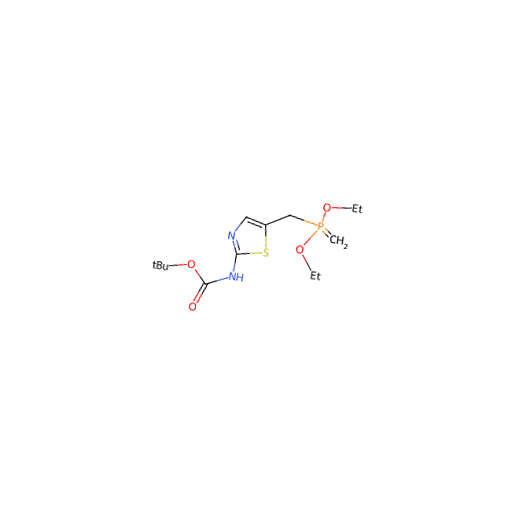 C=P(Cc1cnc(NC(=O)OC(C)(C)C)s1)(OCC)OCC